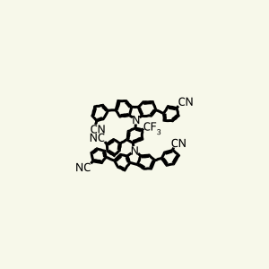 N#Cc1cccc(-c2ccc3c4ccc(-c5cccc(C#N)c5)cc4n(-c4cc(C(F)(F)F)c(-n5c6cc(-c7cccc(C#N)c7)ccc6c6ccc(-c7cccc(C#N)c7)cc65)cc4-c4cccc(C#N)c4)c3c2)c1